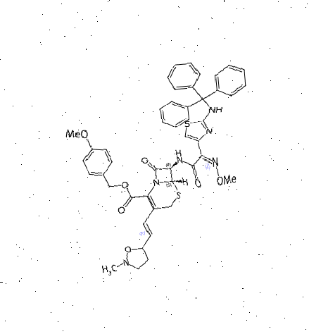 CO/N=C(\C(=O)N[C@@H]1C(=O)N2C(C(=O)OCc3ccc(OC)cc3)=C(/C=C/C3CCN(C)O3)CS[C@@H]12)c1csc(NC(c2ccccc2)(c2ccccc2)c2ccccc2)n1